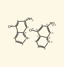 Nc1cc(Cl)c2cccnc2c1.O=[N+]([O-])c1cc(Cl)c2cccnc2c1